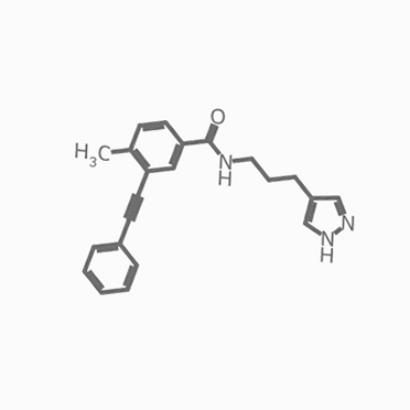 Cc1ccc(C(=O)NCCCc2cn[nH]c2)cc1C#Cc1ccccc1